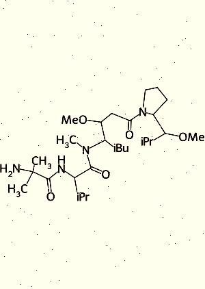 CCC(C)C(C(CC(=O)N1CCCC1C(OC)C(C)C)OC)N(C)C(=O)C(NC(=O)C(C)(C)N)C(C)C